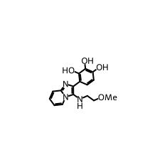 COCCNc1c(-c2ccc(O)c(O)c2O)nc2ccccn12